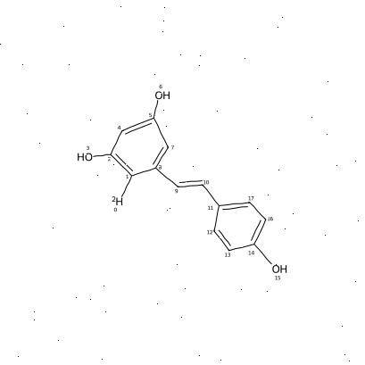 [2H]c1c(O)cc(O)cc1C=Cc1ccc(O)cc1